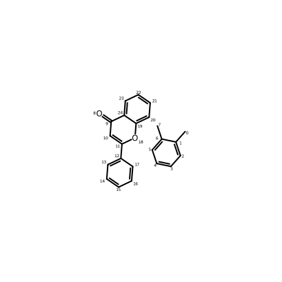 Cc1ccccc1C.O=c1cc(-c2ccccc2)oc2ccccc12